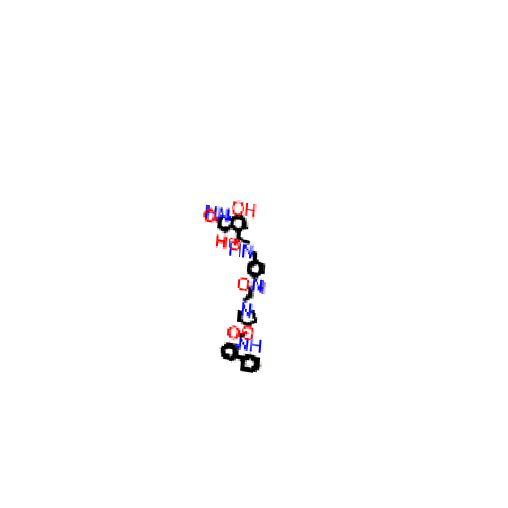 O=C(Nc1ccccc1-c1ccccc1)OC1CCN(CCC(=O)N(I)c2ccc(CNCC(O)c3ccc(O)c4[nH]c(=O)ccc34)cc2)CC1